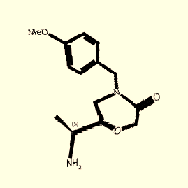 COc1ccc(CN2CC([C@H](C)N)OCC2=O)cc1